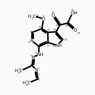 C/C=N\C(C)=N/Nc1ncc(OC)c2c(C(=O)C(=O)O)c[nH]c12